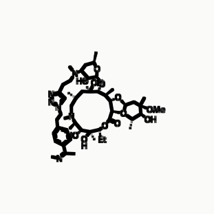 CC[C@H]1OC(=O)[C@H](C)[C@@H](O[C@H]2C[C@@](C)(OC)[C@@H](O)[C@H](C)O2)[C@H](C)[C@@H](O[C@@H]2O[C@H](C)C[C@H](N(C)CCc3cn(CCc4ccc(/C(C)=N\C)cc4)nn3)[C@H]2O)[C@](C)(O)C[C@@H](C)CN(C)[C@H](C)[C@@H](O)[C@]1(C)O